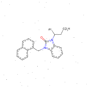 CC(C)C(CC(=O)O)n1c(=O)n(Cc2cccc3ccccc23)c2ccccc21